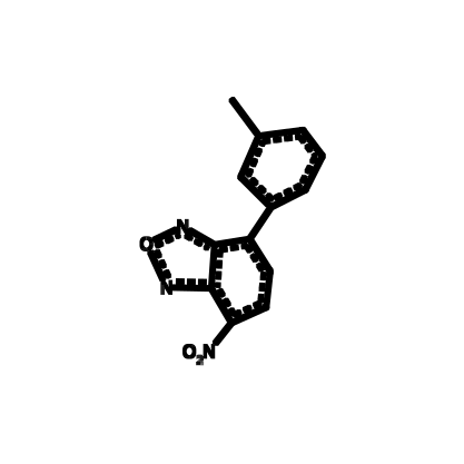 Cc1cccc(-c2ccc([N+](=O)[O-])c3nonc23)c1